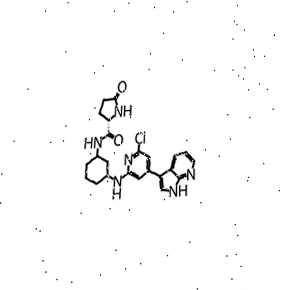 O=C1CC[C@@H](C(=O)NC2CCCC(Nc3cc(-c4c[nH]c5ncccc45)cc(Cl)n3)C2)N1